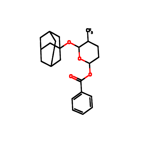 O=C(OC1CCC(C(F)(F)F)C(OC23CC4CC(CC(C4)C2)C3)O1)c1ccccc1